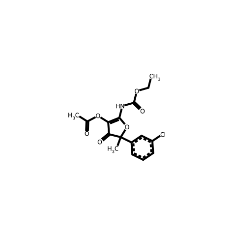 CCOC(=O)NC1=C(OC(C)=O)C(=O)C(C)(c2cccc(Cl)c2)O1